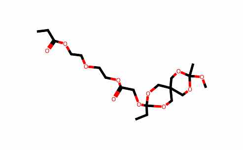 CCC(=O)OCCOCCOC(=O)COC1(CC)OCC2(COC(C)(OC)OC2)CO1